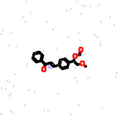 COCC(OC=O)c1ccc(/C=C/C(=O)c2ccccc2)cc1